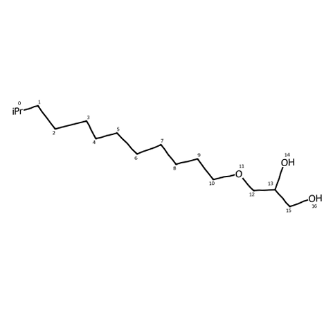 CC(C)CCCCCCCCCCOCC(O)CO